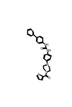 O=C(Nc1ccc(-c2ccccc2)cc1)Nc1ccc(N2CCN(C(=O)c3cccs3)CC2)cc1